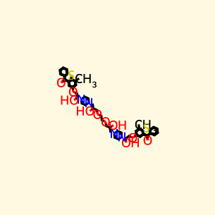 Cc1cc(OCC(O)N2CCN(CC(O)COCCOCC(O)CN3CCN(C(O)COc4cc(C)c5sc6ccccc6c(=O)c5c4)CC3)CC2)cc2c(=O)c3ccccc3sc12